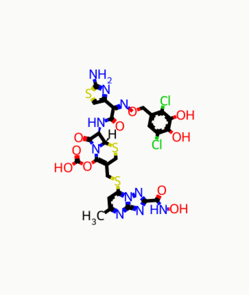 Cc1cc(SCC2=C(OC(=O)O)N3C(=O)[C@@H](NC(=O)/C(=N\OCc4cc(Cl)c(O)c(O)c4Cl)c4csc(N)n4)[C@H]3SC2)n2nc(C(=O)NO)nc2n1